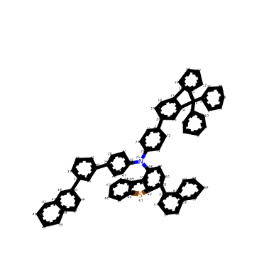 c1ccc(C2(c3ccccc3)c3ccccc3-c3ccc(-c4ccc(N(c5ccc(-c6cccc(-c7ccc8ccccc8c7)c6)cc5)c5ccc(-c6cccc7ccccc67)c6sc7ccccc7c56)cc4)cc32)cc1